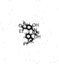 CCC1C(=O)N(C)c2cc(O)c(-c3nnc(O)n3-c3cccc4c3ccn4C(C)C)cc21